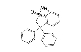 NS(=O)(=O)CC(c1ccccc1)(c1ccccc1)c1ccccc1